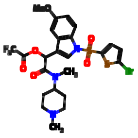 COc1ccc2c(c1)c(C(OC(=O)C(F)(F)F)C(=O)N(C)C1CCN(C)CC1)cn2S(=O)(=O)c1ccc(Br)s1